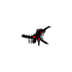 CCCCCCCCCCCCCC(=O)N[C@H]1[C@H](OC[C@H]2O[C@H](O)[C@](CCOP(=O)(O)O)(NC(=O)CCCCCCCCCCCCC)[C@@H](OC(=O)CNC(=O)CCCCCCCCCCC)[C@@H]2O)O[C@H](CO)[C@@H](OP(=O)(O)O)[C@@H]1OCCCC(=O)CCCCCCCCCC